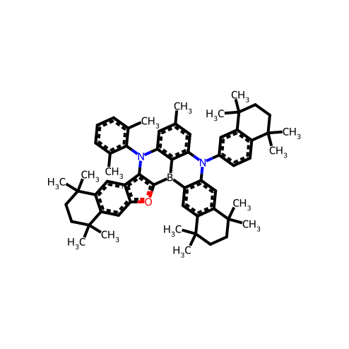 Cc1cc2c3c(c1)N(c1c(C)cccc1C)c1c(oc4cc5c(cc14)C(C)(C)CCC5(C)C)B3c1cc3c(cc1N2c1ccc2c(c1)C(C)(C)CCC2(C)C)C(C)(C)CCC3(C)C